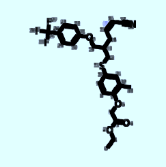 CCOC(=O)COc1ccc(SCC(C/C=C\C#N)COc2ccc(C(F)(F)F)cc2)cc1C